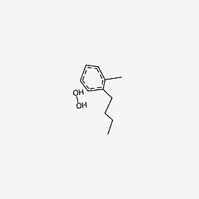 CCCCc1ccccc1C.OO